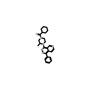 CC1CN(C(=O)C2CCCCC2)CCN1c1nnc(-c2ccccc2)c2ccncc12